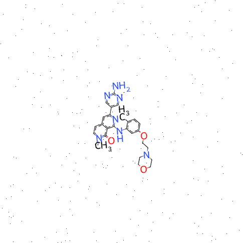 Cc1ccc(OCCN2CCOCC2)cc1Nc1nc(-c2cnc(N)nc2)cc2ccn(C)c(=O)c12